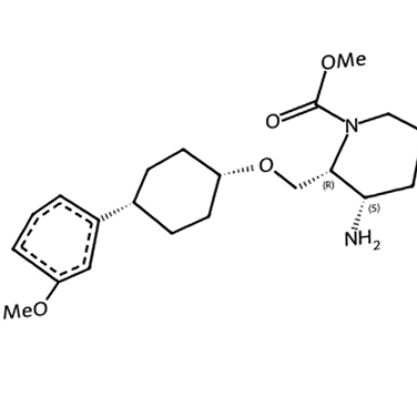 COC(=O)N1CCC[C@H](N)[C@@H]1CO[C@H]1CC[C@@H](c2cccc(OC)c2)CC1